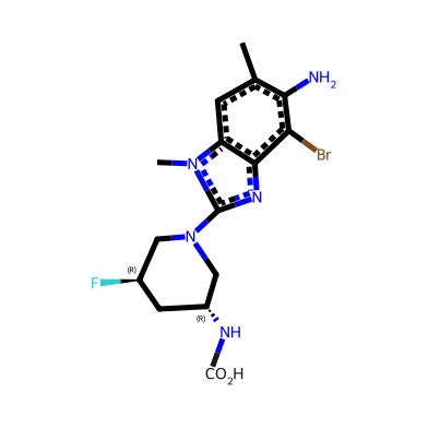 Cc1cc2c(nc(N3C[C@H](F)C[C@@H](NC(=O)O)C3)n2C)c(Br)c1N